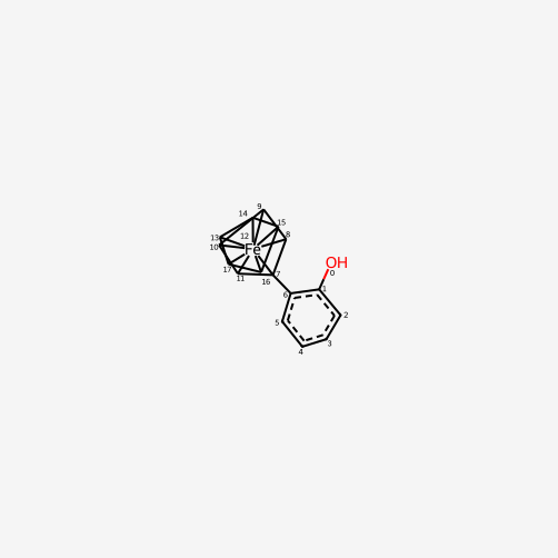 Oc1ccccc1[C]12[CH]3[CH]4[CH]5[CH]1[Fe]45321678[CH]2[CH]1[CH]6[CH]7[CH]28